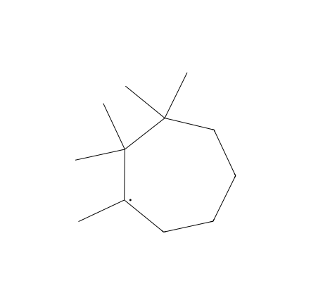 C[C]1CCCCC(C)(C)C1(C)C